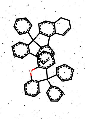 C1=Cc2c(ccc3c2-c2ccccc2C3(c2ccccc2)c2ccccc2-c2cccc3c2Oc2ccccc2C3(c2ccccc2)c2ccccc2)CC1